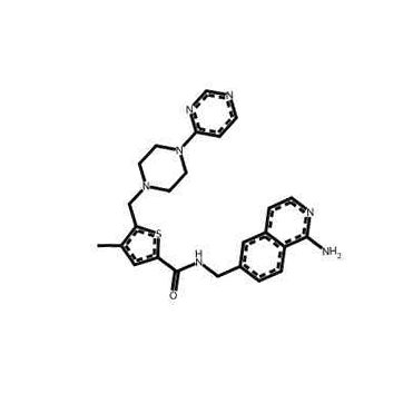 Cc1cc(C(=O)NCc2ccc3c(N)nccc3c2)sc1CN1CCN(c2ccncn2)CC1